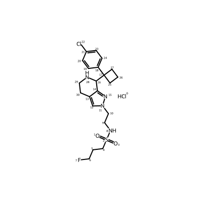 Cl.O=S(=O)(CCCF)NCCn1cc2c(n1)C(C1(c3ccc(Cl)cc3)CCC1)NCC2